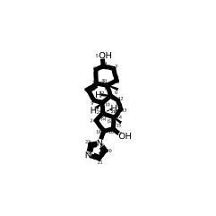 C[C@]12CCC(O)CC1=CC[C@@H]1[C@H]2CC[C@]2(C)C(O)C(n3ccnc3)C[C@@H]12